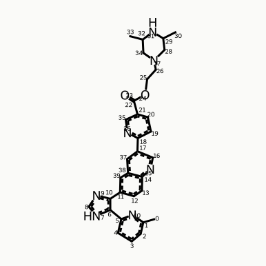 Cc1cccc(-c2[nH]cnc2-c2ccc3ncc(-c4ccc(C(=O)OCCN5CC(C)NC(C)C5)cn4)cc3c2)n1